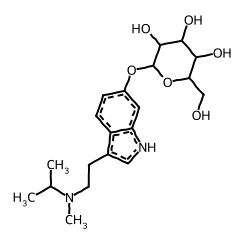 CC(C)N(C)CCc1c[nH]c2cc(OC3OC(CO)C(O)C(O)C3O)ccc12